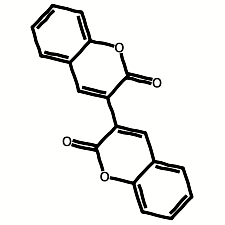 O=c1oc2ccccc2cc1-c1cc2ccccc2oc1=O